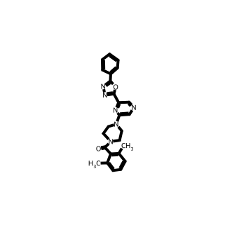 Cc1cccc(C)c1C(=O)N1CCN(c2cncc(-c3nnc(-c4ccccc4)o3)n2)CC1